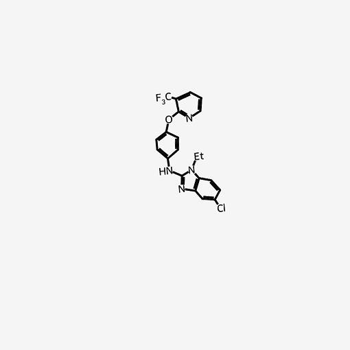 CCn1c(Nc2ccc(Oc3ncccc3C(F)(F)F)cc2)nc2cc(Cl)ccc21